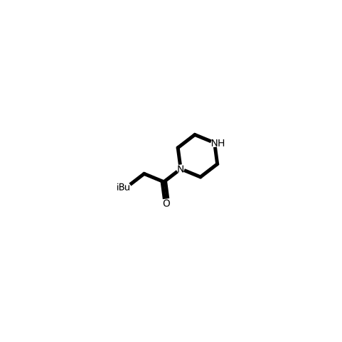 CCC(C)CC(=O)N1CCNCC1